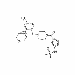 CS(=O)(=O)Nc1ccn(C(=O)N2CCN(Cc3ccc(C(F)(F)F)cc3N3C4CCC3COC4)CC2)n1